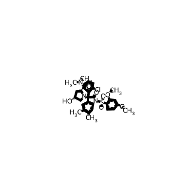 COc1ccc(S(=O)(=O)N2C(=O)C(c3ccccc3Cl)(N3C[C@H](O)C[C@H]3C(=O)N(C)C)c3cc(C)c(C)cc32)c(OC)c1